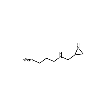 CCCCCCCCNCC1CN1